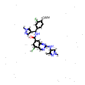 COc1ccc(C(NC(=O)c2cc(F)c3cnc(Nc4cn(C)nc4C)nc3c2)c2cnn(C)c2)cc1F